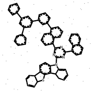 C1=CCC2C(=C1)N(c1nc(-c3cccc4ccccc34)nc(-c3cccc4c(-c5cccc(-c6cc(-c7ccccc7)cc(-c7ccccc7)c6)c5)cccc34)n1)c1ccc3c(c12)SC1C=CC=CC31